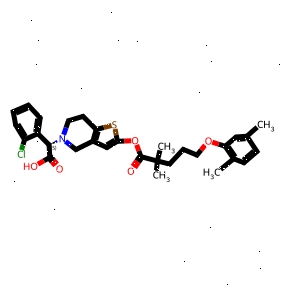 Cc1ccc(C)c(OCCCC(C)(C)C(=O)Oc2cc3c(s2)CCN([C@H](C(=O)O)c2ccccc2Cl)C3)c1